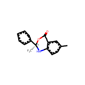 Cc1ccc2c(c1)C(=O)O[C@@](c1ccccc1)(C(F)(F)F)N2